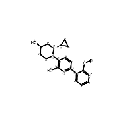 CCOc1ncccc1-c1ccc(N2CC[C@@H](O)C[C@@H]2C2CC2)c(C#N)n1